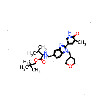 Cc1cc(-c2nc3cc(CNC(C(=O)OCC(C)(C)C)C(C)C)ccc3n2CC2CCOCC2)c[nH]c1=O